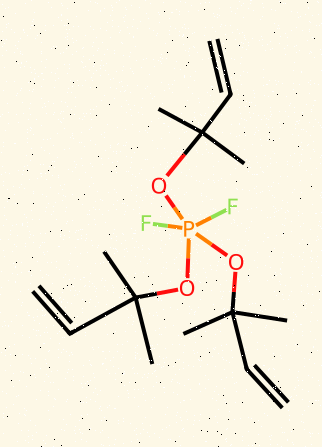 C=CC(C)(C)OP(F)(F)(OC(C)(C)C=C)OC(C)(C)C=C